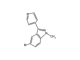 Cn1nc(-c2ccncc2)c2cc(Br)ccc21